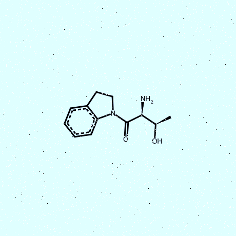 C[C@@H](O)[C@H](N)C(=O)N1CCc2cc[c]cc21